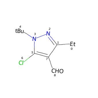 CCc1nn(C(C)(C)C)c(Cl)c1C=O